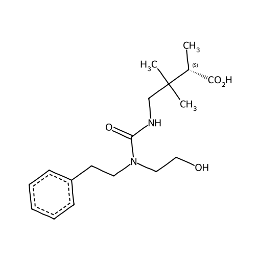 C[C@H](C(=O)O)C(C)(C)CNC(=O)N(CCO)CCc1ccccc1